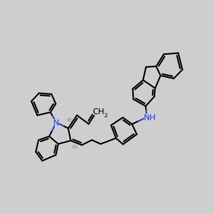 C=C/C=c1\c(=C/CCc2ccc(Nc3ccc4c(c3)-c3ccccc3C4)cc2)c2ccccc2n1-c1ccccc1